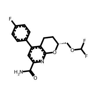 NC(=O)c1cc(-c2ccc(F)cc2)c2c(n1)O[C@@H](COC(F)F)CC2